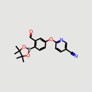 CC1(C)OB(c2ccc(Oc3ccc(C#N)cn3)cc2C=O)OC1(C)C